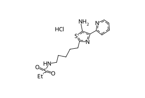 CCS(=O)(=O)NCCCCCc1nc(-c2ccccn2)c(N)s1.Cl